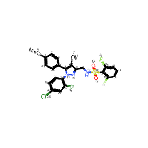 COc1ccc(-c2c(C#N)c(CNS(=O)(=O)c3c(F)cccc3F)nn2-c2ccc(Cl)cc2Cl)cc1